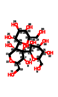 OC[C@H]1O[C@@H]([C@]2(O)[C@H](O)[C@@H](CO)O[CH][C@@]2(O)[C@@H]2O[C@H](CO)[C@@H](O)[C@H](O)[C@H]2O)[C@H](O)[C@@H](O)[C@@H]1O